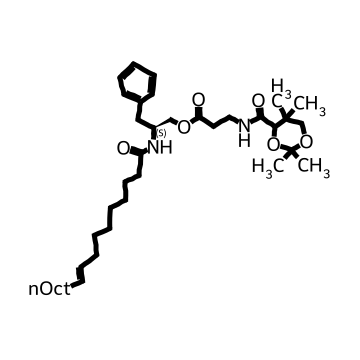 CCCCCCCCC=CCCCCCCCC(=O)N[C@H](COC(=O)CCNC(=O)C1OC(C)(C)OCC1(C)C)Cc1ccccc1